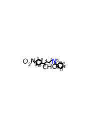 CN(CCCC(C=O)c1ccc([N+](=O)[O-])cc1)Cc1ccccc1